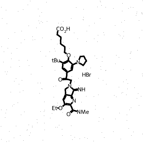 Br.CCOc1cc2c(nc1C(=O)NC)C(=N)N(CC(=O)c1cc(N3CCCC3)c(OCCCCCC(=O)O)c(C(C)(C)C)c1)C2